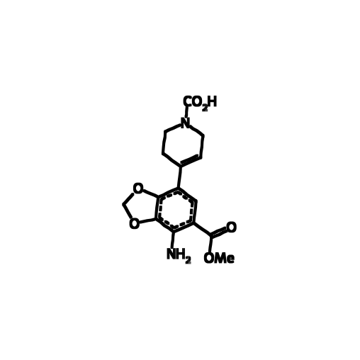 COC(=O)c1cc(C2=CCN(C(=O)O)CC2)c2c(c1N)OCO2